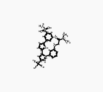 CN(C)C(=O)COc1cccc(-n2nc(C(F)(F)F)cc2-c2ccc(-c3cccc(S(C)(=O)=O)c3)s2)c1